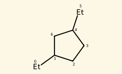 CCC1CCC(CC)C1